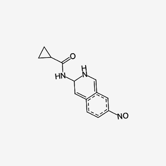 O=Nc1ccc2c(c1)=CNC(NC(=O)C1CC1)C=2